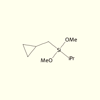 CO[Si](CC1CC1)(OC)C(C)C